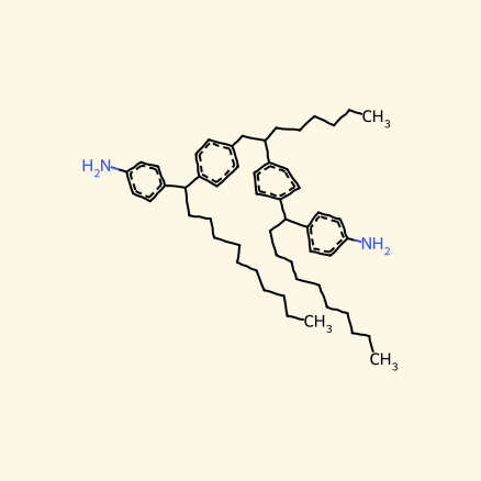 CCCCCCCCCCC(c1ccc(N)cc1)c1ccc(CC(CCCCCC)c2ccc(C(CCCCCCCCCC)c3ccc(N)cc3)cc2)cc1